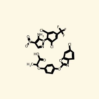 CC(Oc1ccc(Oc2nc3ccc(Cl)cc3o2)cc1)C(=O)O.Nc1c([N+](=O)[O-])cnn1-c1c(Cl)cc(C(F)(F)F)cc1Cl